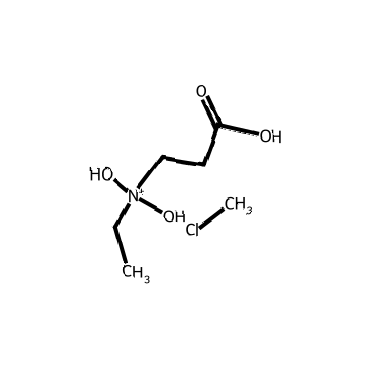 CC[N+](O)(O)CCC(=O)O.CCl